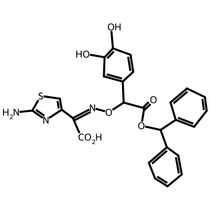 Nc1nc(/C(=N/OC(C(=O)OC(c2ccccc2)c2ccccc2)c2ccc(O)c(O)c2)C(=O)O)cs1